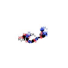 CCNC(=O)c1nnc(-c2cc(C(C)C)c(O)cc2O)n1-c1ccc(C(=O)N2CCN(Cc3ccc(OC(=O)N4CCN(CCCOc5ccc6c(c5OC)N=C(NC(=O)c5cnc(N)nc5)N5CCN=C65)CC4)cc3)CC2)cc1